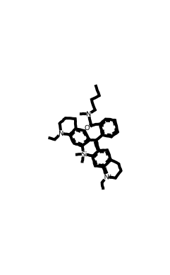 CCCCN(C)C(=O)c1ccccc1C1=c2cc3c(cc2[Si](C)(C)c2cc4c(cc21)CCCN4CC)=[N+](CC)CCC3